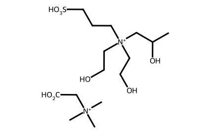 CC(O)C[N+](CCO)(CCO)CCCS(=O)(=O)O.C[N+](C)(C)CC(=O)O